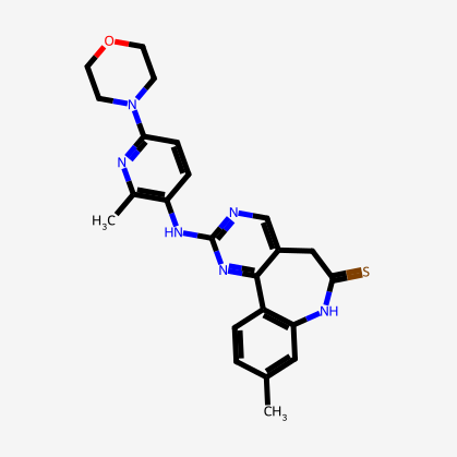 Cc1ccc2c(c1)NC(=S)Cc1cnc(Nc3ccc(N4CCOCC4)nc3C)nc1-2